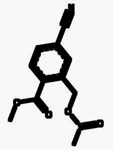 COC(=O)c1ccc(C#N)cc1COS(C)=O